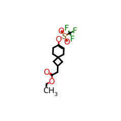 CCOC(=O)CC1CC2(CC=C(OS(=O)(=O)C(F)(F)F)CC2)C1